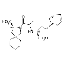 CCOC(=O)[C@H](CCc1ccccc1)NC(C)C(=O)N1CC2(CCCCC2)C[C@H]1C(=O)O